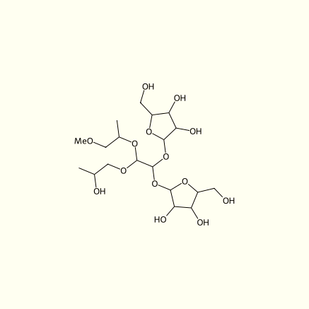 COCC(C)OC(OCC(C)O)C(OC1OC(CO)C(O)C1O)OC1OC(CO)C(O)C1O